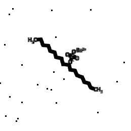 CCCCCCCCCCCCCCCCCC.O=S(=O)([O-])[O-].[Ba+2]